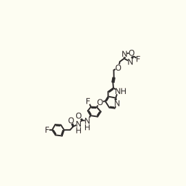 O=C(Cc1ccc(F)cc1)NC(=O)Nc1ccc(Oc2ccnc3[nH]c(C#CCOCc4noc(F)n4)cc23)c(F)c1